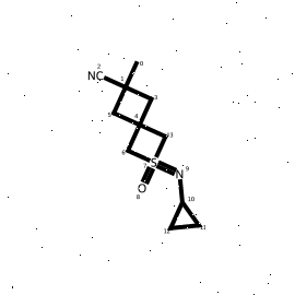 CC1(C#N)CC2(C1)CS(=O)(=NC1CC1)C2